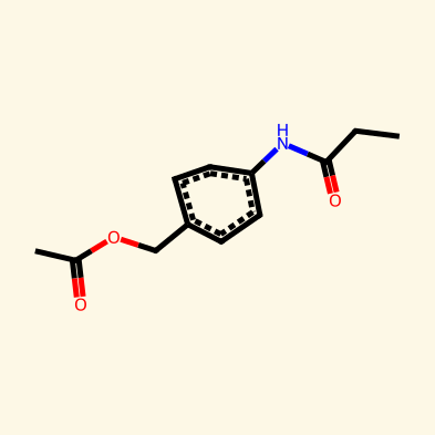 CCC(=O)Nc1ccc(COC(C)=O)cc1